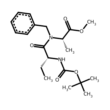 CC[C@@H](NC(=O)OC(C)(C)C)C(=O)N(Cc1ccccc1)[C@@H](C)C(=O)OC